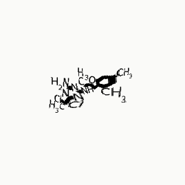 Cc1cc(C)c2cc(C(C)Nc3nc(N)nc(C(C)(Cl)Cl)n3)oc2c1